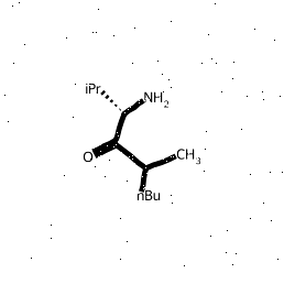 CCCCC(C)C(=O)[C@@H](N)C(C)C